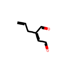 C=CCC(C=O)=CC=O